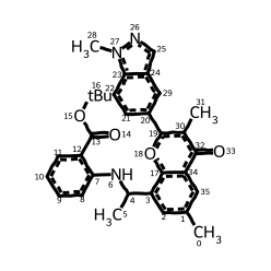 Cc1cc(C(C)Nc2ccccc2C(=O)OC(C)(C)C)c2oc(-c3ccc4c(cnn4C)c3)c(C)c(=O)c2c1